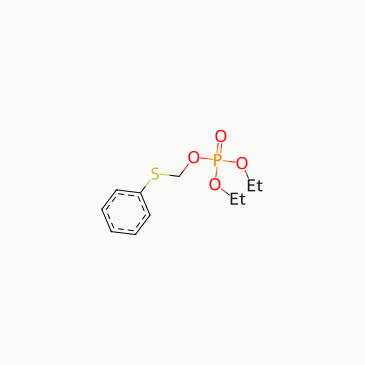 CCOP(=O)(OCC)OCSc1ccccc1